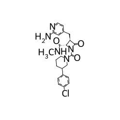 CNC(=O)[C@@H]1[C@@H](Cc2ccnc(N)c2)C(=O)N1C(=O)N1CCCC(c2ccc(Cl)cc2)C1